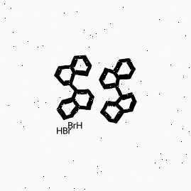 Br.Br.c1ccc2c(-c3cccc4ccccc34)cccc2c1.c1ccc2c(-c3cccc4ccccc34)cccc2c1